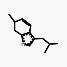 CC(C)Cc1c[nH]c2c1C=CC(C)C2